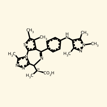 Cc1nn(C)c(C)c1Nc1ccc(C2=NC([C@H](C)C(=O)O)c3nnc(C)n3-c3sc(C)c(C)c32)cc1